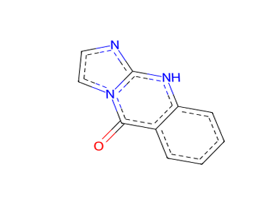 O=c1c2ccccc2[nH]c2nccn12